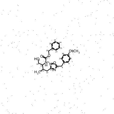 COc1ccc(Cc2nc(CC(C)C(CO)NC(=O)OCc3ccccc3)no2)cc1